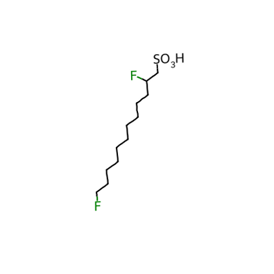 O=S(=O)(O)CC(F)CCCCCCCCCCF